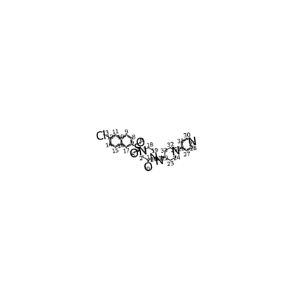 O=C1CN(S(=O)(=O)c2ccc3cc(Cl)ccc3c2)CCN1N=C1CCN(c2ccncc2)CC1